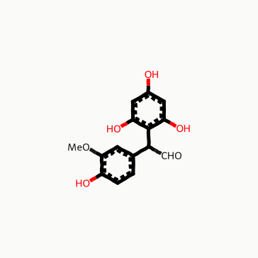 COc1cc(C(C=O)c2c(O)cc(O)cc2O)ccc1O